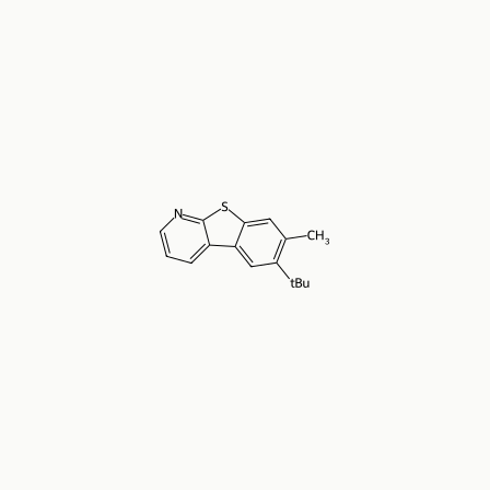 Cc1cc2sc3ncccc3c2cc1C(C)(C)C